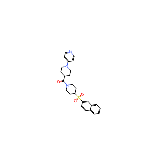 O=C(C1CCN(c2ccncc2)CC1)N1CCC(S(=O)(=O)c2ccc3ccccc3c2)CC1